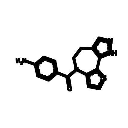 Nc1ccc(C(=O)N2CCc3cn[nH]c3-c3sccc32)cc1